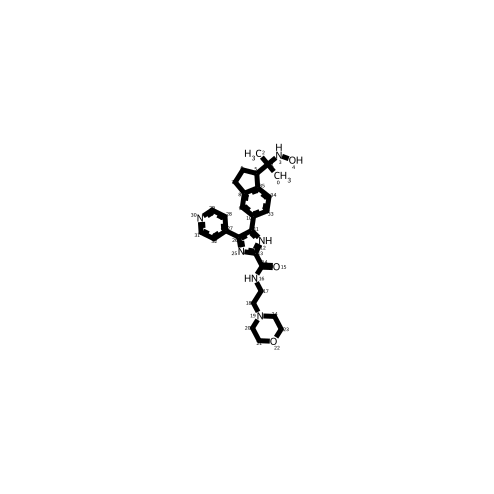 CC(C)(NO)C1CCc2cc(-c3[nH]c(C(=O)NCCN4CCOCC4)nc3-c3ccncc3)ccc21